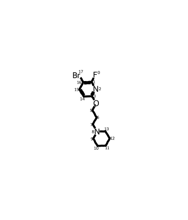 Fc1nc(OCCCN2CCCCC2)ccc1Br